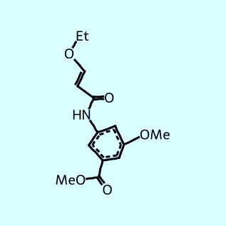 CCOC=CC(=O)Nc1cc(OC)cc(C(=O)OC)c1